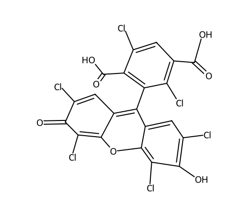 O=C(O)c1cc(Cl)c(C(=O)O)c(-c2c3cc(Cl)c(=O)c(Cl)c-3oc3c(Cl)c(O)c(Cl)cc23)c1Cl